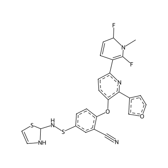 CN1C(F)=C(c2ccc(Oc3ccc(SNC4NC=CS4)cc3C#N)c(-c3ccoc3)n2)C=CC1F